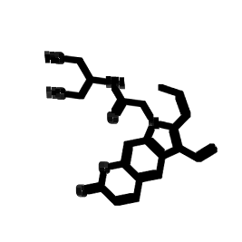 C=Cc1c(/C=C\C)n(CC(=O)NC(CO)CO)c2cc3oc(=O)ccc3cc12